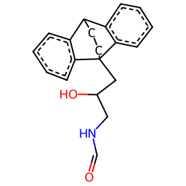 O=CNCC(O)CC12CCC(c3ccccc31)c1ccccc12